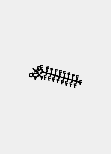 C[Si](Cl)(Cl)C(F)(F)C(F)C(F)(F)C(F)(F)C(F)(F)C(F)(F)C(F)(F)C(F)(F)C(F)(F)C(F)(F)F